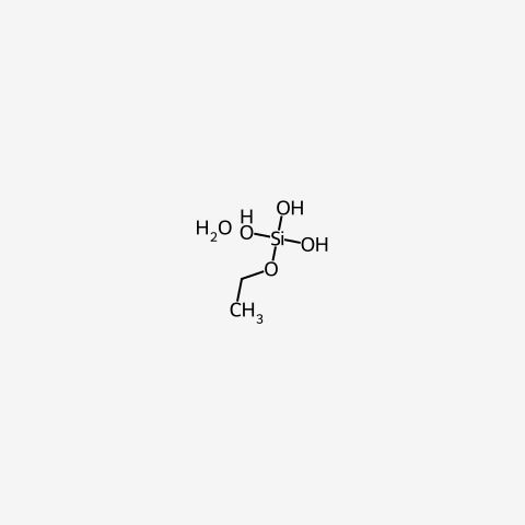 CCO[Si](O)(O)O.O